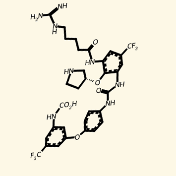 N=C(N)NCCCCC(=O)Nc1cc(C(F)(F)F)cc(NC(=O)Nc2ccc(Oc3cc(NC(=O)O)cc(C(F)(F)F)c3)cc2)c1O[C@@H]1CCNC1